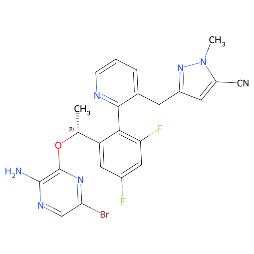 C[C@@H](Oc1nc(Br)cnc1N)c1cc(F)cc(F)c1-c1ncccc1Cc1cc(C#N)n(C)n1